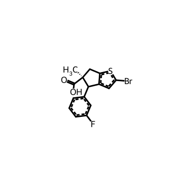 C[C@]1(C(=O)O)Cc2sc(Br)cc2C1c1cccc(F)c1